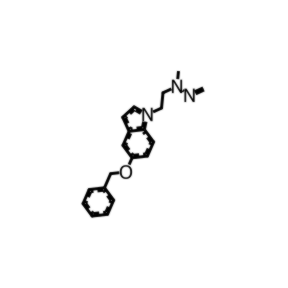 C=NN(C)CCn1ccc2cc(OCc3ccccc3)ccc21